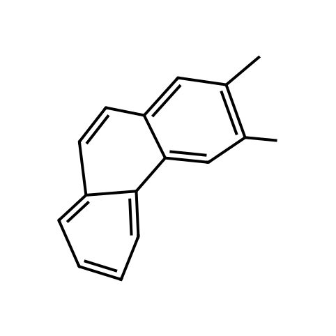 Cc1cc2ccc3ccccc3c2cc1C